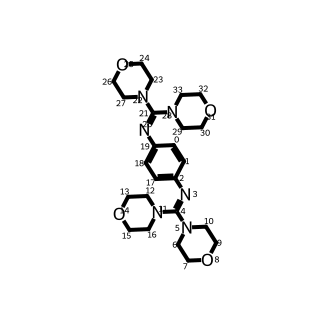 c1cc(N=C(N2CCOCC2)N2CCOCC2)ccc1N=C(N1CCOCC1)N1CCOCC1